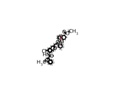 CCOC(=O)[C@H]1CC[C@H](OC(OCCC(=O)Cc2cc(Cl)c(NC(=O)c3cn(C)c4ccccc34)cc2F)(N2CCCCC2)N2CCCC2)CC1